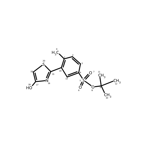 Cc1ccc(S(=O)(=O)OC(C)(C)C)cc1-c1nc(O)cs1